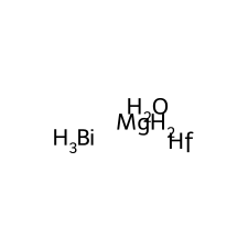 O.[BiH3].[Hf].[MgH2]